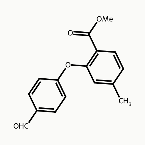 COC(=O)c1ccc(C)cc1Oc1ccc(C=O)cc1